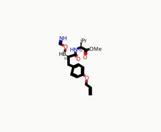 C=CCOc1ccc(C[C@H](BOC=N)C(=O)N[C@H](C(=O)OC)C(C)C)cc1